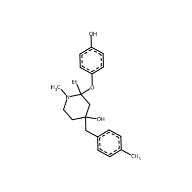 CCC1(Oc2ccc(O)cc2)CC(O)(Cc2ccc(C)cc2)CCN1C